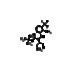 CCC(C=O)N(Nc1cccc(C(F)(F)F)c1N)C(=O)OC(C)(C)C